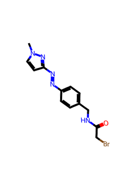 Cn1ccc(N=Nc2ccc(CNC(=O)CBr)cc2)n1